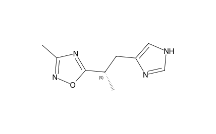 Cc1noc([C@@H](C)Cc2c[nH]cn2)n1